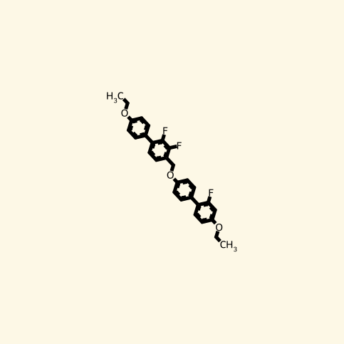 CCOc1ccc(-c2ccc(COc3ccc(-c4ccc(OCC)cc4F)cc3)c(F)c2F)cc1